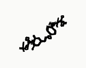 COC(=O)C(C)(C)N[C@H]1CC[C@H](OCCC2CC(C)N(C(=O)OC(C)(C)C)[C@H](C)C2)CC1